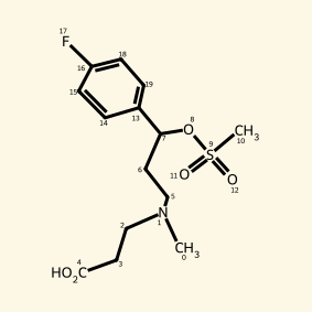 CN(CCC(=O)O)CCC(OS(C)(=O)=O)c1ccc(F)cc1